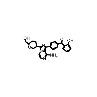 Nc1nccn2c(C3CCC(CO)OC3)nc(-c3ccc(C(=O)c4ccccc4O)cc3)c12